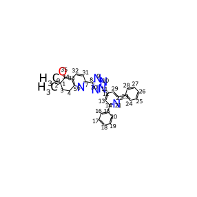 CC1(C)CCc2nc(-c3nnn(-c4cc(-c5ccccc5)nc(-c5ccccc5)c4)n3)ccc2C1=O